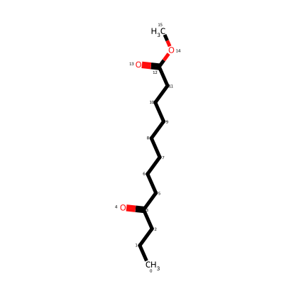 CCCC(=O)CCCCCCCC(=O)OC